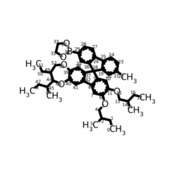 CCC(C)COc1cc2c(cc1OCC(C)CC)C1(c3cc(C)ccc3-c3ccc(B4OCCO4)cc31)c1cc3c(cc1-2)OC(C(C)CC)C(CC)CO3